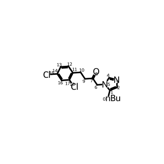 CCCCc1cncn1CC(=O)CCc1ccc(Cl)cc1Cl